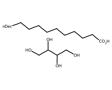 CCCCCCCCCCCCCCCCCCCC(=O)O.OCC(O)C(O)CO